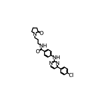 O=C(NCCCN1CCCC1=O)c1ccc(Nc2nccc(-c3ccc(Cl)cc3)n2)cc1